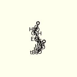 CCOCc1nc2c(NC(=O)[C@H](C)NC(=O)OC(C)(C)C)nc3ccccc3c2n1CC(C)(C)OCCNC(=O)C(C)(C)NC(=O)OCc1ccccc1